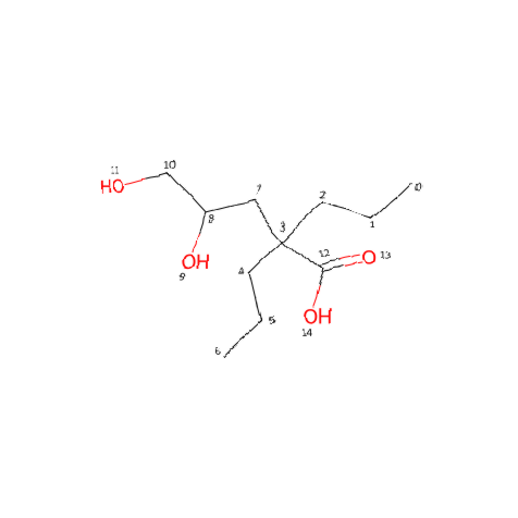 CCCC(CCC)(CC(O)CO)C(=O)O